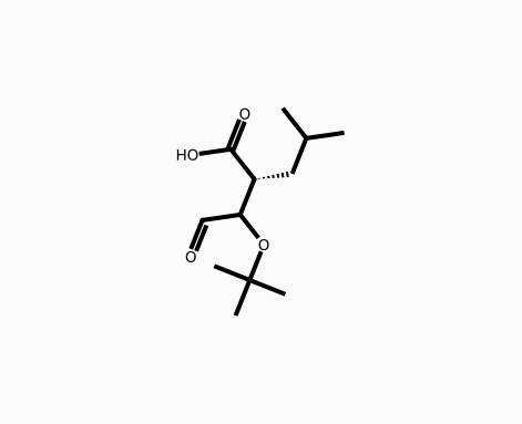 CC(C)C[C@@H](C(=O)O)C(C=O)OC(C)(C)C